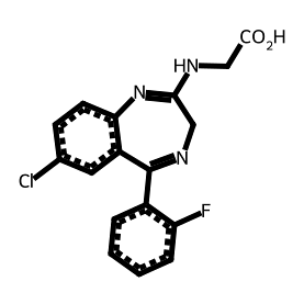 O=C(O)CNC1=Nc2ccc(Cl)cc2C(c2ccccc2F)=NC1